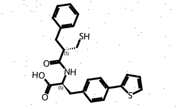 O=C(N[C@@H](Cc1ccc(-c2cccs2)cc1)C(=O)O)[C@@H](CS)Cc1ccccc1